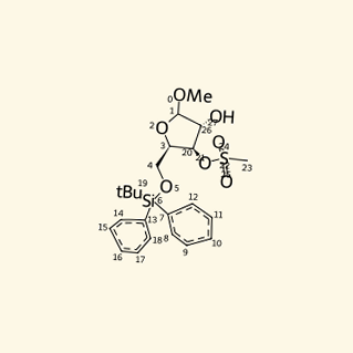 COC1O[C@H](CO[Si](c2ccccc2)(c2ccccc2)C(C)(C)C)[C@H](OS(C)(=O)=O)[C@H]1O